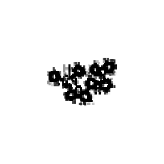 c1ccc(C2=NC(c3cccc4c3oc3c(-c5cccc6c5oc5cccc(-n7c8ccccc8c8ccccc87)c56)cccc34)=NC(c3ccccc3)N2)cc1